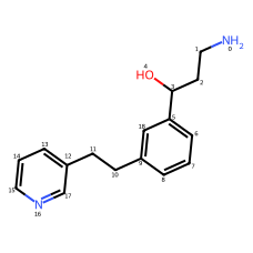 NCCC(O)c1cccc(CCc2cccnc2)c1